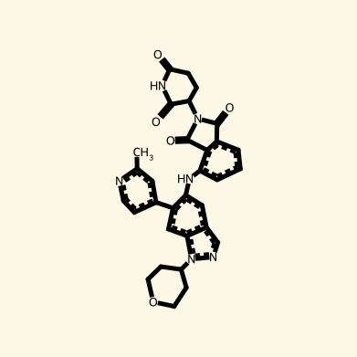 Cc1cc(-c2cc3c(cnn3C3CCOCC3)cc2Nc2cccc3c2C(=O)N(C2CCC(=O)NC2=O)C3=O)ccn1